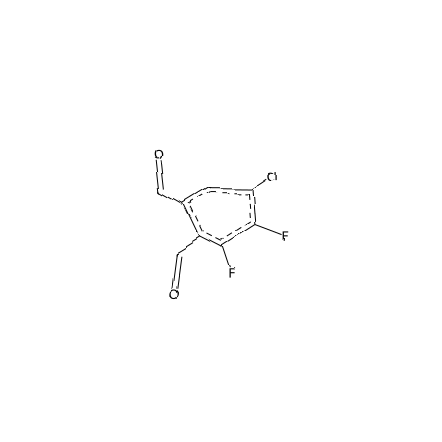 O=Cc1cc(Cl)c(F)c(F)c1C=O